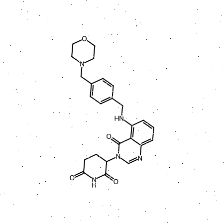 O=C1CCC(n2cnc3cccc(NCc4ccc(CN5CCOCC5)cc4)c3c2=O)C(=O)N1